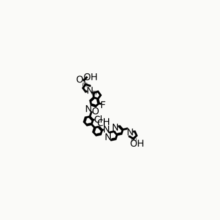 O=C(O)[C@@H]1CCN([C@@H]2CCc3c2cc2nc(-c4cccc(-c5cccc(Nc6nccc7cc(CN8CC[C@@H](O)C8)cnc67)c5Cl)c4Cl)oc2c3F)C1